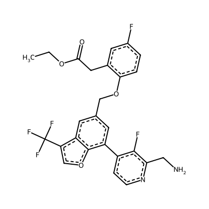 CCOC(=O)Cc1cc(F)ccc1OCc1cc(-c2ccnc(CN)c2F)c2occ(C(F)(F)F)c2c1